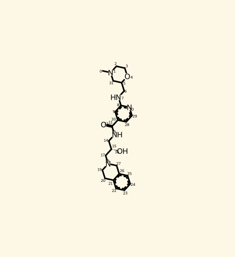 CN1CCOC(CNc2cc(C(=O)NC[C@H](O)CN3CCc4ccccc4C3)ccn2)C1